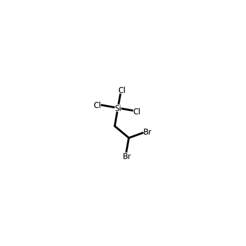 Cl[Si](Cl)(Cl)CC(Br)Br